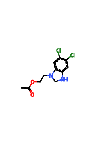 CC(=O)OCCN1CNc2cc(Cl)c(Cl)cc21